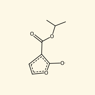 CC(C)OC(=O)c1ccoc1[O]